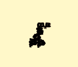 CCOC(=O)N1CC2(CC[C@@H](N3CCN(c4ncc(F)cc4-c4ncccc4F)CC3)C2)C1